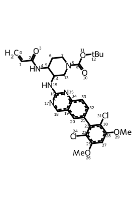 C=CC(=O)NC1CCN(C(=O)OC(C)(C)C)CC1Nc1ncc2cc(-c3c(Cl)c(OC)cc(OC)c3Cl)ccc2n1